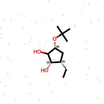 CC[C@H]1C[C@@H](OC(C)(C)C)C(O)[C@H]1O